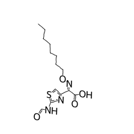 CCCCCCCCO/N=C(/C(=O)O)c1csc(NC=O)n1